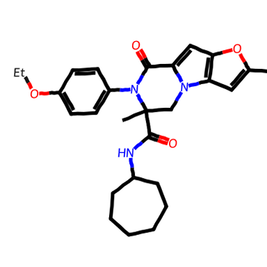 CCOc1ccc(N2C(=O)c3cc4oc(C)cc4n3CC2(C)C(=O)NC2CCCCCC2)cc1